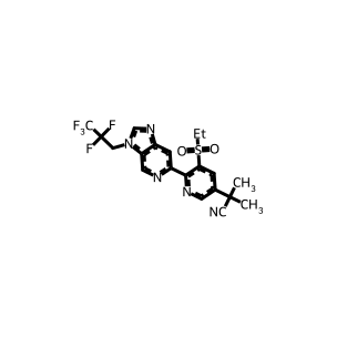 CCS(=O)(=O)c1cc(C(C)(C)C#N)cnc1-c1cc2ncn(CC(F)(F)C(F)(F)F)c2cn1